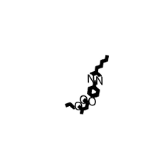 CCCCCc1cnc(-c2ccc(OC(=O)CC(C)OCCC)cc2)nc1